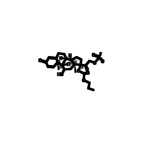 CCCOC(=O)O[C@]1(C(=O)COS(C)(=O)=O)CC[C@H]2[C@@H]3CCC4=CC(=O)C=C[C@]4(C)[C@@]3(Cl)C(O)C[C@@]21C